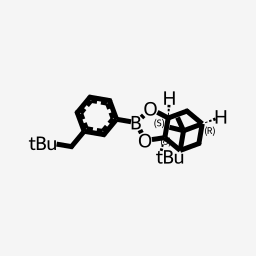 CC(C)(C)Cc1cccc(B2O[C@H]3C[C@H]4CC(C4(C)C)[C@@]3(C(C)(C)C)O2)c1